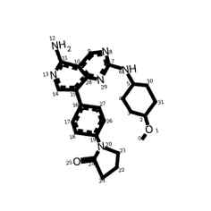 COC1CCC(Nc2ncc3c(N)ncc(-c4ccc(N5CCCC5=O)cc4)c3n2)CC1